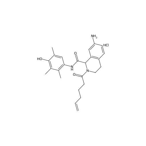 C=CCCCC(=O)N1CCc2ccc(N)cc2C1C(=O)Nc1cc(C)c(O)c(C)c1C.Cl